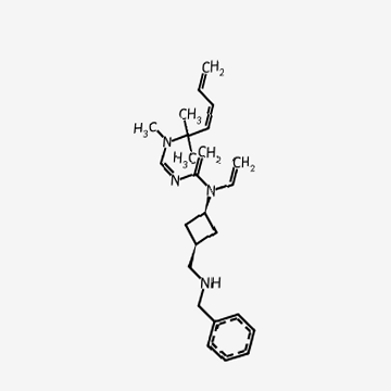 C=C/C=C\C(C)(C)N(C)/C=N\C(=C)N(C=C)[C@H]1C[C@@H](CNCc2ccccc2)C1